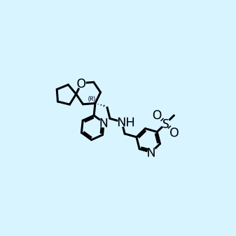 CS(=O)(=O)c1cncc(CNCC[C@@]2(c3ccccn3)CCOC3(CCCC3)C2)c1